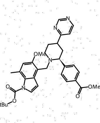 COC(=O)c1ccc([C@@H]2CC(c3ccncn3)CCN2Cc2c(OC)cc(C)c3c2ccn3C(=O)OC(C)(C)C)cc1